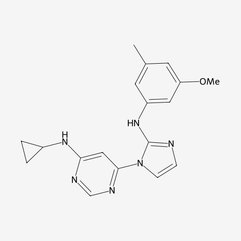 COc1cc(C)cc(Nc2nccn2-c2cc(NC3CC3)ncn2)c1